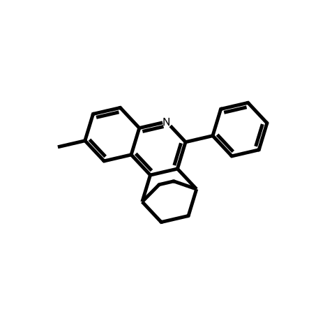 Cc1ccc2nc(-c3ccccc3)c3c(c2c1)C1CCC3CC1